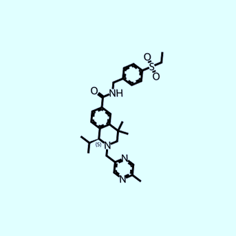 CCS(=O)(=O)c1ccc(CNC(=O)c2ccc3c(c2)C(C)(C)CN(Cc2cnc(C)cn2)[C@H]3C(C)C)cc1